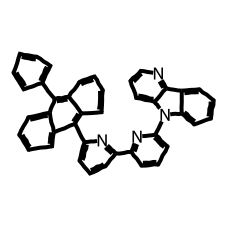 c1ccc(-c2c3ccccc3c(-c3cccc(-c4cccc(-n5c6ccccc6c6ncccc65)n4)n3)c3ccccc23)cc1